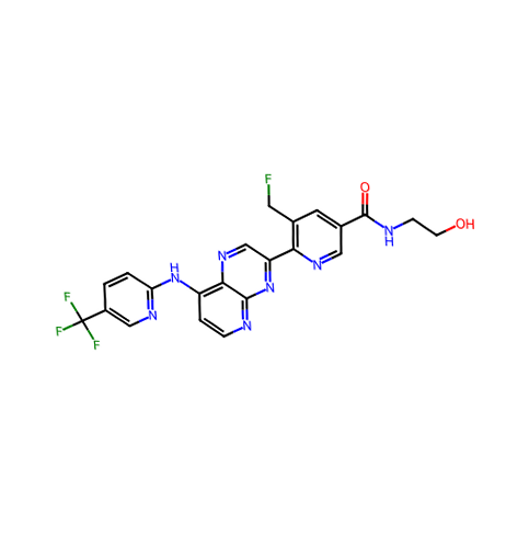 O=C(NCCO)c1cnc(-c2cnc3c(Nc4ccc(C(F)(F)F)cn4)ccnc3n2)c(CF)c1